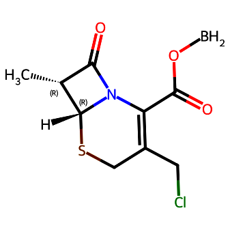 BOC(=O)C1=C(CCl)CS[C@@H]2[C@H](C)C(=O)N12